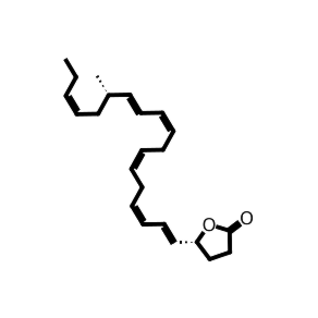 CC/C=C\C[C@H](C)/C=C/C=C\C/C=C\C/C=C\C=C\[C@H]1CCC(=O)O1